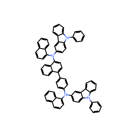 c1ccc(-n2c3ccccc3c3cc(N(c4ccc(-c5ccc(N(c6ccc7c(c6)c6ccccc6n7-c6ccccc6)c6cccc7ccccc67)c6ccccc56)cc4)c4cccc5ccccc45)ccc32)cc1